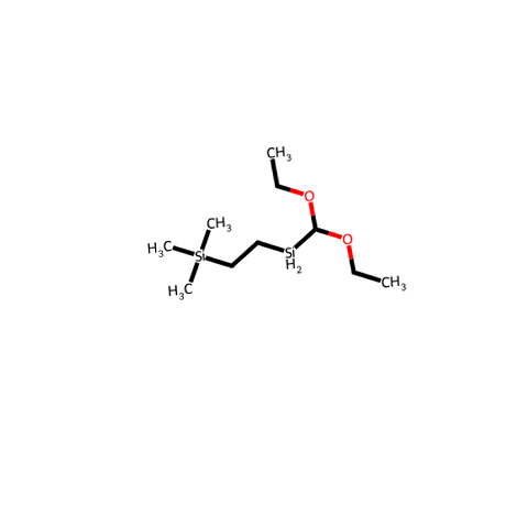 CCOC(OCC)[SiH2]CC[Si](C)(C)C